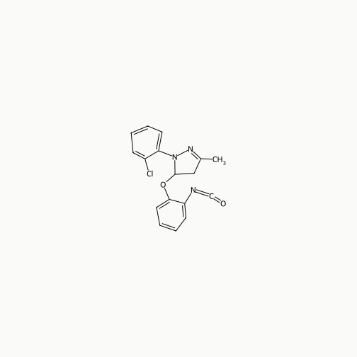 CC1=NN(c2ccccc2Cl)C(Oc2ccccc2N=C=O)C1